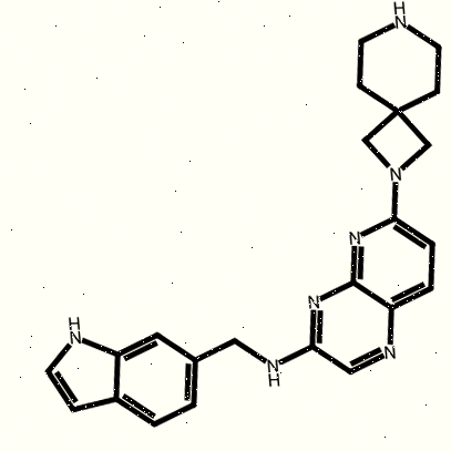 c1cc2ccc(CNc3cnc4ccc(N5CC6(CCNCC6)C5)nc4n3)cc2[nH]1